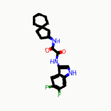 O=C(Nc1c[nH]c2cc(F)c(F)cc12)C(=O)NC1CCC2(CCCCC2)C1